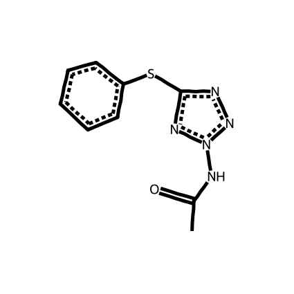 CC(=O)Nn1nnc(Sc2ccccc2)n1